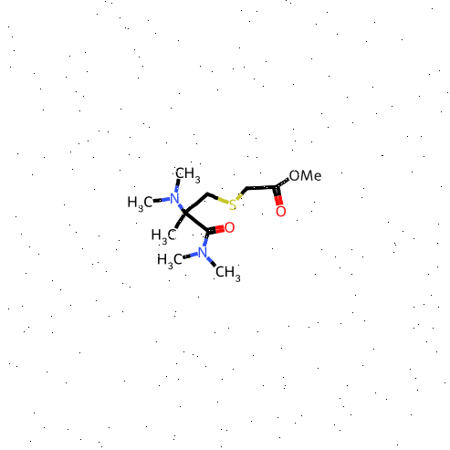 COC(=O)CSCC(C)(C(=O)N(C)C)N(C)C